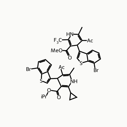 CC(=O)C1=C(C)NC(C2CC2)=C(C(=O)OC(C)C)C1c1csc2c(Br)cccc12.COC(=O)C1=C(C(F)(F)F)NC(C)=C(C(C)=O)C1c1csc2c(Br)cccc12